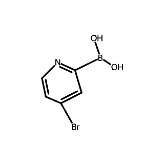 OB(O)c1cc(Br)ccn1